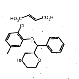 Cc1ccc(Cl)c(O[C@@H](c2ccccc2)[C@@H]2CNCCO2)c1.O=C(O)C=CC(=O)O